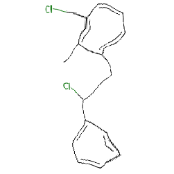 Cc1c(Cl)cccc1CC(Cl)c1ccccc1